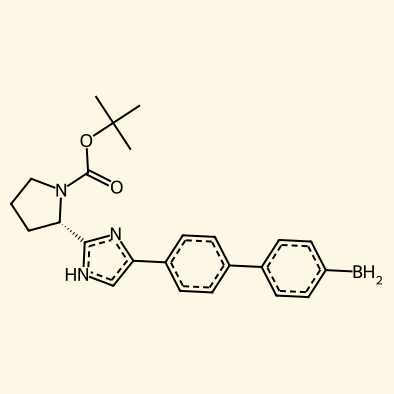 Bc1ccc(-c2ccc(-c3c[nH]c([C@@H]4CCCN4C(=O)OC(C)(C)C)n3)cc2)cc1